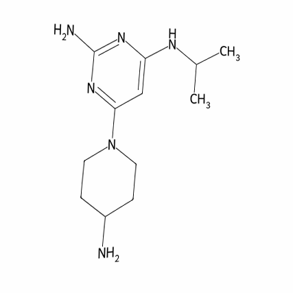 CC(C)Nc1cc(N2CCC(N)CC2)nc(N)n1